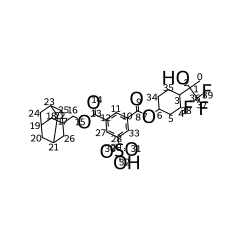 CC(O)(C1CCC(OC(=O)c2cc(C(=O)OCC34CC5CC(CC(C5)C3)C4)cc(S(=O)(=O)O)c2)CC1)C(F)(F)F